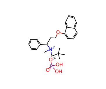 CC(C)(C)[C@H](OP(=O)(O)O)[N+](C)(C)C(CCOc1cccc2ccccc12)c1ccccc1